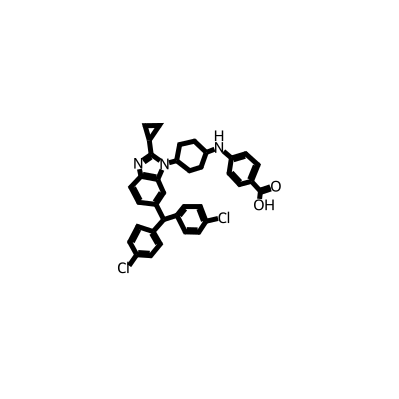 O=C(O)c1ccc(NC2CCC(n3c(C4CC4)nc4ccc(C(c5ccc(Cl)cc5)c5ccc(Cl)cc5)cc43)CC2)cc1